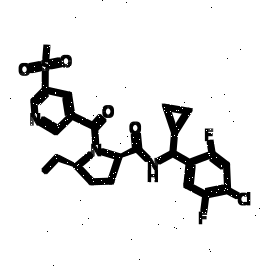 CC[C@@H]1CC[C@H](C(=O)NC(c2cc(F)c(Cl)cc2F)C2CC2)N1C(=O)c1cncc(S(C)(=O)=O)c1